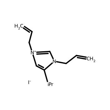 C=CCn1c[n+](CC=C)cc1C(C)C.[I-]